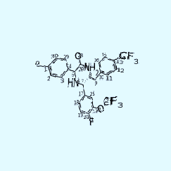 Cc1ccc(C(N[C@H](CCc2ccc(C(F)(F)F)cc2)c2ccc(F)c(OC(F)(F)F)c2)C(N)=O)cc1